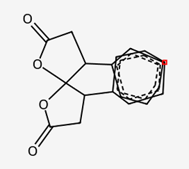 O=C1CC(c2ccccc2)C2(O1)OC(=O)CC2c1ccccc1